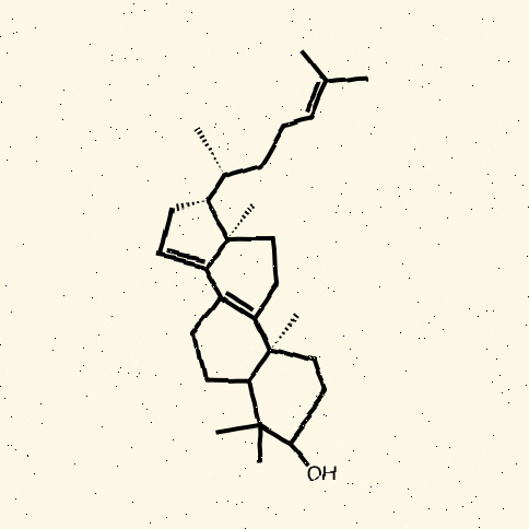 CC(C)=CCC[C@@H](C)[C@H]1CC=C2C3=C(CC[C@@]21C)[C@@]1(C)CCC(O)C(C)(C)C1CC3